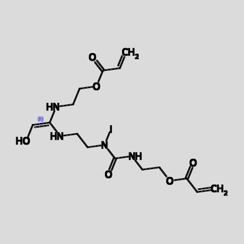 C=CC(=O)OCCNC(=O)N(I)CCN/C(=C\O)NCCOC(=O)C=C